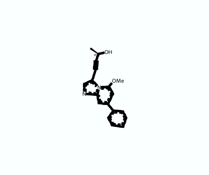 COc1cc(-c2ccccc2)cc2ncc(C#C[C@@H](C)O)n12